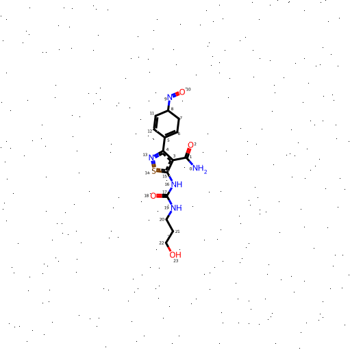 NC(=O)c1c(C2=CCC(N=O)C=C2)nsc1NC(=O)NCCCO